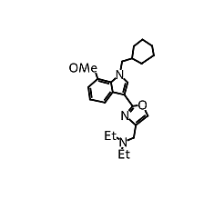 CCN(CC)Cc1coc(-c2cn(CC3CCCCC3)c3c(OC)cccc23)n1